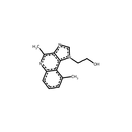 Cc1nc2cccc(C)c2c2c1ncn2CCO